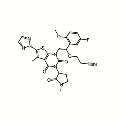 COc1ccc(F)cc1[C@H](Cn1c(=O)n(C2CCN(C)C2=O)c(=O)c2c(C)c(-n3nccn3)sc21)OCCC#N